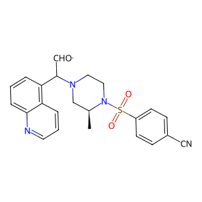 C[C@H]1CN(C([C]=O)c2cccc3ncccc23)CCN1S(=O)(=O)c1ccc(C#N)cc1